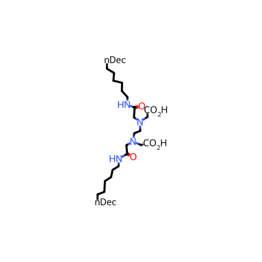 CCCCCCCCCCCCCCCCNC(=O)CN(CCN(CC(=O)O)CC(=O)NCCCCCCCCCCCCCCCC)CC(=O)O